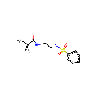 C=C(C)C(=O)NCCNS(=O)(=O)c1ccccc1